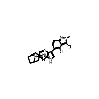 Cn1nc2ccc(-c3c[nH]c4nc(N5C6CCC5CC(N)C6)cnc34)c(Cl)c2c1Cl